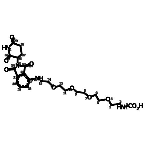 O=C(O)NCCOCCOCCOCCOCCNc1cccc2c1C(=O)N(C1CCC(=O)NC1=O)C2=O